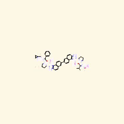 COC[C@H]1C[C@@H](c2nc3ccc4cc(-c5ccc6c(ccc7nc([C@@H]8CCCN8C(=O)C(NC(=O)OC)C(C)C)[nH]c76)c5)ccc4c3[nH]2)N(C(=O)[C@H](NC(=O)C2CC2)c2ccccc2)C1